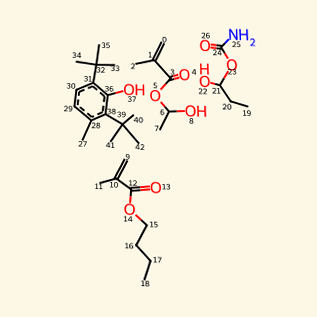 C=C(C)C(=O)OC(C)O.C=C(C)C(=O)OCCCC.CCC(O)OC(N)=O.Cc1ccc(C(C)(C)C)c(O)c1C(C)(C)C